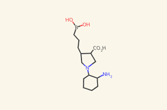 NC1CCCCC1N1CC(CCCB(O)O)C(C(=O)O)C1